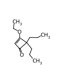 CCCC1(CCC)C(=O)C=C1OCC